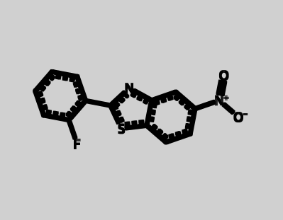 O=[N+]([O-])c1ccc2sc(-c3ccccc3F)nc2c1